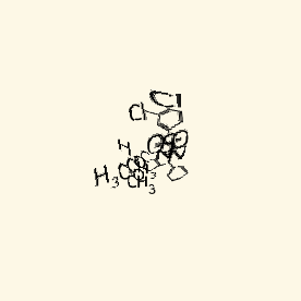 Cc1c(CC(=O)OC(C)(C)C)c(-c2ccccc2)nn1S(=O)(=O)c1ccc(Cl)c(Cl)c1